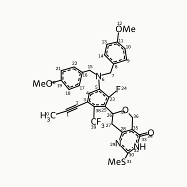 CC#Cc1cc(N(Cc2ccc(OC)cc2)Cc2ccc(OC)cc2)c(F)c(C2Cc3nc(SC)[nH]c(=O)c3CO2)c1C(F)(F)F